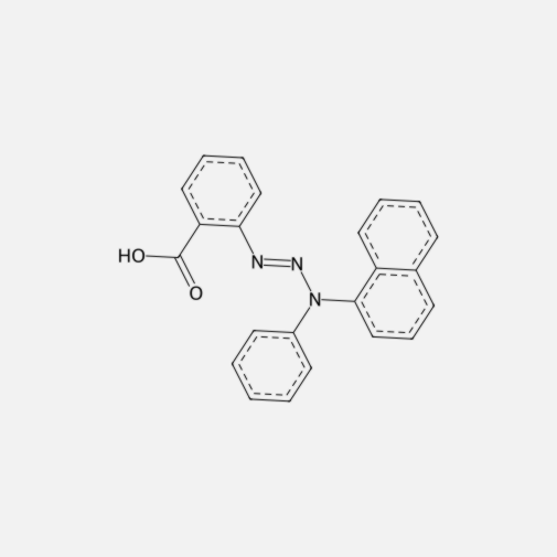 O=C(O)c1ccccc1N=NN(c1ccccc1)c1cccc2ccccc12